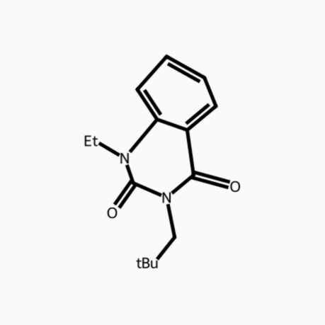 CCn1c(=O)n(CC(C)(C)C)c(=O)c2ccccc21